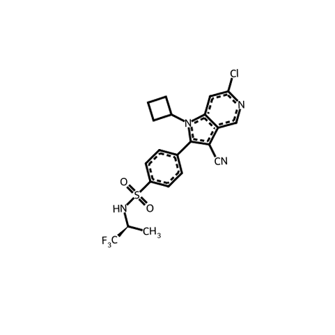 C[C@H](NS(=O)(=O)c1ccc(-c2c(C#N)c3cnc(Cl)cc3n2C2CCC2)cc1)C(F)(F)F